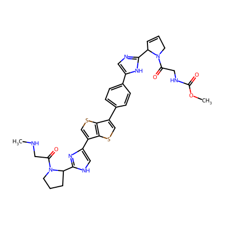 CNCC(=O)N1CCCC1c1nc(-c2csc3c(-c4ccc(-c5cnc(C6C=CCN6C(=O)CNC(=O)OC)[nH]5)cc4)csc23)c[nH]1